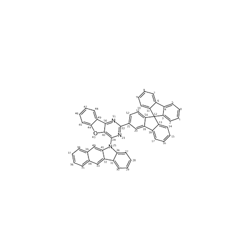 c1ccc2c(c1)-c1ccccc1C21c2ccccc2-c2cc(-c3nc(-n4c5ccccc5c5cc6ccccc6cc54)c4oc5ccccc5c4n3)ccc21